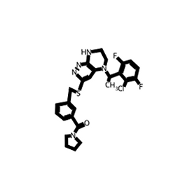 CC(c1c(F)ccc(F)c1Cl)N1CCNc2nnc(SCc3cccc(C(=O)N4CCCC4)c3)cc21